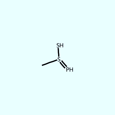 CS(=P)S